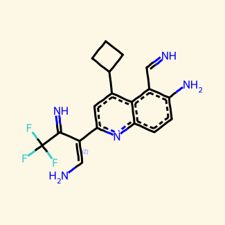 N=Cc1c(N)ccc2nc(/C(=C/N)C(=N)C(F)(F)F)cc(C3CCC3)c12